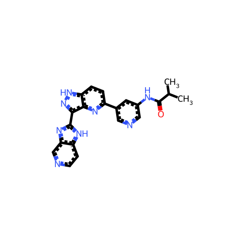 CC(C)C(=O)Nc1cncc(-c2ccc3[nH]nc(-c4nc5cnccc5[nH]4)c3n2)c1